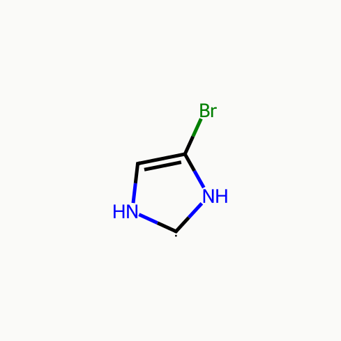 BrC1=CN[CH]N1